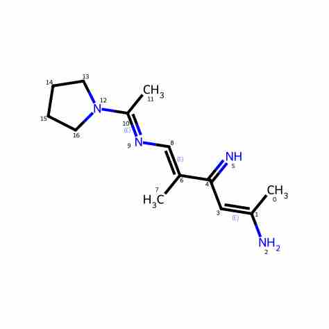 C/C(N)=C\C(=N)/C(C)=C/N=C(\C)N1CCCC1